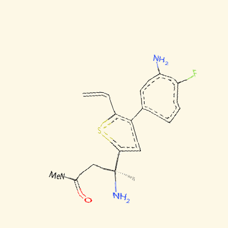 C=Cc1sc([C@@](C)(N)CC(=O)NC)cc1-c1ccc(F)c(N)c1